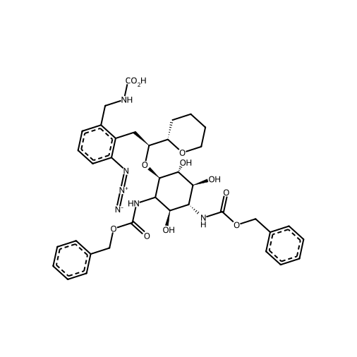 [N-]=[N+]=Nc1cccc(CNC(=O)O)c1C[C@H](O[C@@H]1C(NC(=O)OCc2ccccc2)[C@H](O)[C@@H](NC(=O)OCc2ccccc2)[C@H](O)[C@H]1O)[C@@H]1CCCCO1